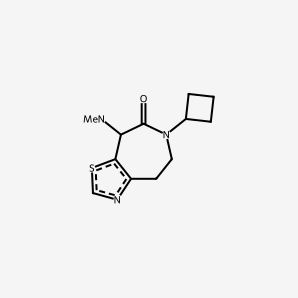 CNC1C(=O)N(C2CCC2)CCc2ncsc21